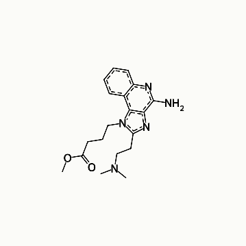 COC(=O)CCCn1c(CCN(C)C)nc2c(N)nc3ccccc3c21